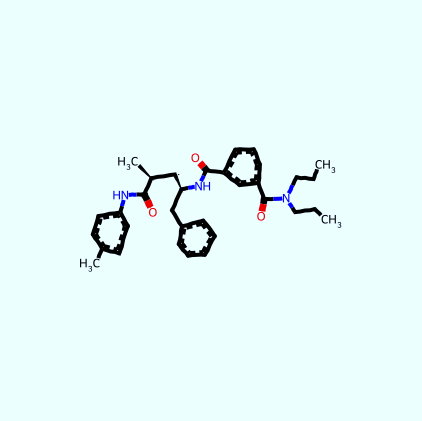 CCCN(CCC)C(=O)c1cccc(C(=O)N[C@H]([CH][C@H](C)C(=O)Nc2ccc(C)cc2)Cc2ccccc2)c1